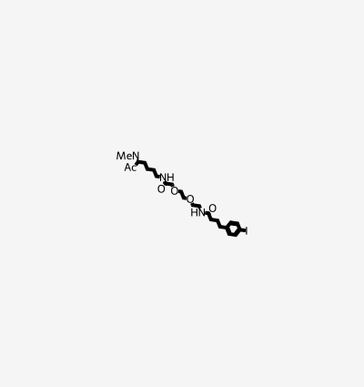 CN[C@@H](CCCCNC(=O)COCCOCCNC(=O)CCCc1ccc(I)cc1)C(C)=O